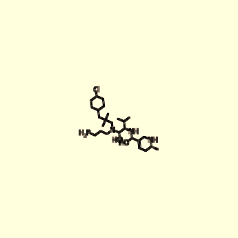 CC(C)[C@@H](NC(O)C1=CC[C@H](C)NC1)C(O)N(CCCP)CC(C)(C)CC1CCC(Cl)CC1